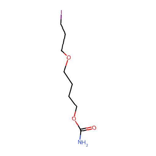 NC(=O)OCCCCOCCCI